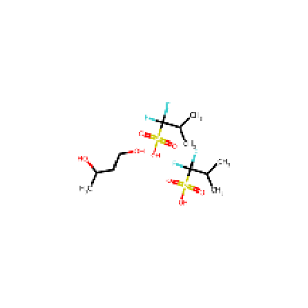 CC(C)C(F)(F)S(=O)(=O)O.CC(C)C(F)(F)S(=O)(=O)O.CC(O)CCO